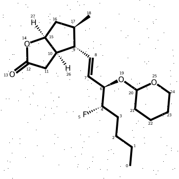 CCCC[C@H](F)[C@@H](C=C[C@@H]1[C@H]2CC(=O)O[C@H]2C[C@H]1C)OC1CCCCO1